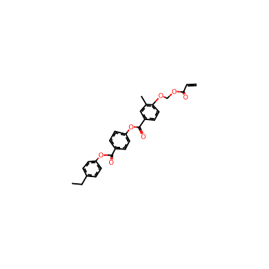 C=CC(=O)OCOc1ccc(C(=O)Oc2ccc(C(=O)Oc3ccc(CC)cc3)cc2)cc1C